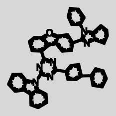 c1ccc(-c2ccc(-c3nc(-c4cccc5oc6cc(-c7nc8ccccc8n7-c7ccccc7)ccc6c45)nc(-n4c5ccccc5c5ccccc54)n3)cc2)cc1